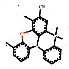 Cc1cccc2c1Oc1c(C)c(C#N)cc3c1B2c1ccccc1[Si]3(C)C